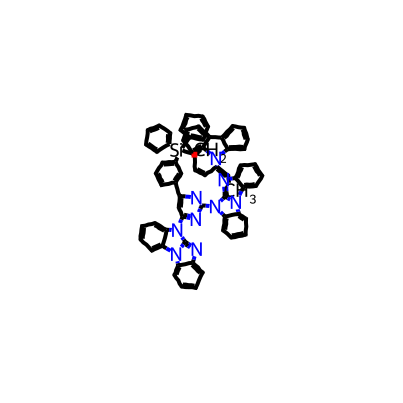 C=C(/C=C\C(=C/C)n1c2ccccc2c2ccccc21)[Si](c1ccccc1)(c1ccccc1)c1cccc(-c2cc(-n3c4ccccc4n4c5ccccc5nc34)nc(-n3c4ccccc4n4c5ccccc5nc34)n2)c1